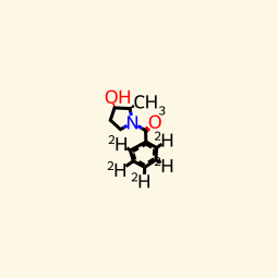 [2H]c1c([2H])c([2H])c(C(=O)N2CC[C@H](O)[C@H]2C)c([2H])c1[2H]